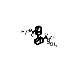 COC(=O)C12CC3CC(C1)CC(C14CC5CC(CC(C(=O)N(C)OC)(C5)C1)C4)(C3)C2